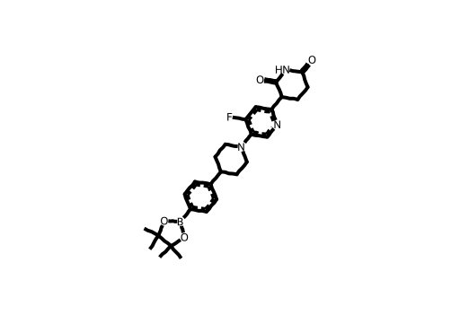 CC1(C)OB(c2ccc(C3CCN(c4cnc(C5CCC(=O)NC5=O)cc4F)CC3)cc2)OC1(C)C